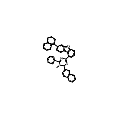 CN1C(c2ccccc2)=NC(c2cccc3oc4cc(-c5cccc6ccccc56)ccc4c23)=NC1c1ccc2ccccc2c1